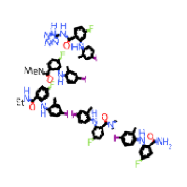 CCNC(=O)c1ccc(F)cc1Nc1ccc(I)cc1C.CNC(=O)c1ccc(F)cc1Nc1ccc(I)cc1C.Cc1cc(I)ccc1Nc1cc(F)ccc1C(=O)N(C)C.Cc1cc(I)ccc1Nc1cc(F)ccc1C(=O)Nc1nnn[nH]1.Cc1cc(I)ccc1Nc1cc(F)ccc1C(N)=O